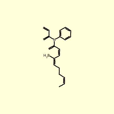 BC(/C=C\C(=C)N(C(=C)C=C)c1ccccc1)=C/CC/C=C\C